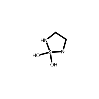 OS1(O)[N]CCN1